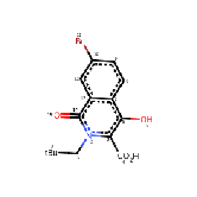 CC(C)(C)Cn1c(C(=O)O)c(O)c2ccc(Br)cc2c1=O